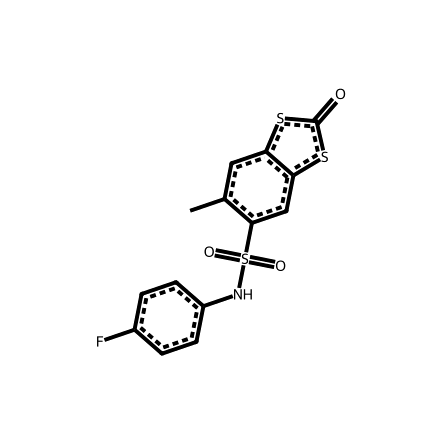 Cc1cc2sc(=O)sc2cc1S(=O)(=O)Nc1ccc(F)cc1